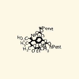 CCCCCOC(=O)Oc1ccc(C(C(C)C(C)OC(=O)C(C)(C)CC)[C@H](N)C(=O)O)cc1OC(=O)OCCCCC